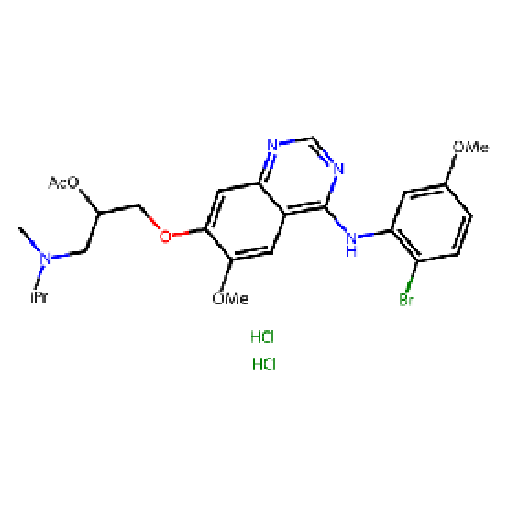 COc1ccc(Br)c(Nc2ncnc3cc(OCC(CN(C)C(C)C)OC(C)=O)c(OC)cc23)c1.Cl.Cl